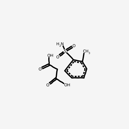 Cc1ccccc1S(N)(=O)=O.O=C(O)CC(=O)O